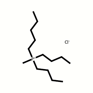 CCCCC[P+](C)(CCCC)CCCC.[Cl-]